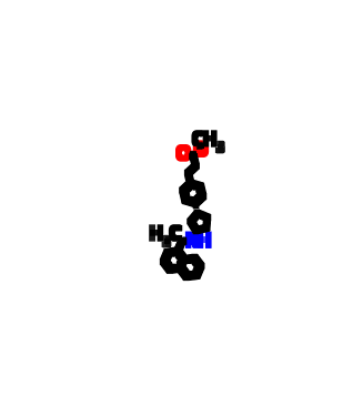 COC(=O)CCc1ccc([C@@H]2CC[C@H](N[C@H](C)c3cccc4ccccc34)C2)cc1